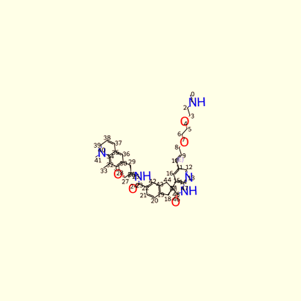 CNCCOCCOC/C=C/c1cnc2c(c1)[C@]1(Cc3ccc(C(=O)N[C@@H](C=O)Cc4cc(C)c5c(c4)C=CCN5C)cc3C1)C(=O)N2